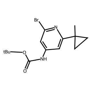 CC(C)(C)OC(=O)Nc1cc(Br)nc(C2(C)CC2)c1